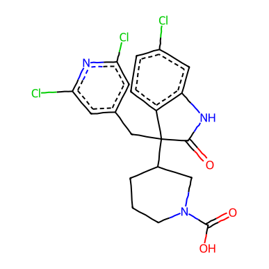 O=C(O)N1CCCC(C2(Cc3cc(Cl)nc(Cl)c3)C(=O)Nc3cc(Cl)ccc32)C1